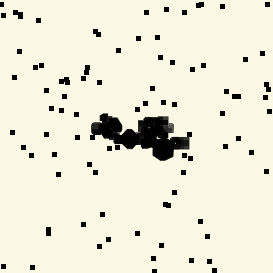 CN1CCN(CC2CC(n3cc(-c4cccc(O)c4)c4c(N)ncnc43)C2)CC1=O